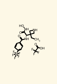 CCC1([C@H](NC(=O)c2ccc(S(F)(F)(F)(F)F)cc2)C(=O)NO)CNC1.O=C(O)C(F)(F)F